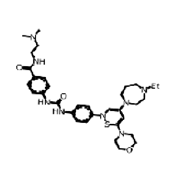 CCN1CCCN(C2=CN(c3ccc(NC(=O)Nc4ccc(C(=O)NCCN(C)C)cc4)cc3)SC(N3CCOCC3)=C2)CC1